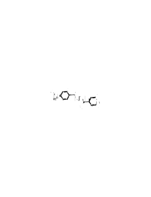 O=C(NN=Cc1ccc([N+](=O)[O-])cc1)c1ccncc1